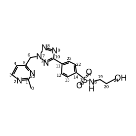 Cc1nccc(Cn2nnc(-c3ccc(S(=O)(=O)NCCO)cc3)n2)n1